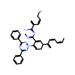 C=C(/C=C\CC(C)C)/C(N)=N/C(=N\C)C1=CC(C(=C)/C=C\C=C/C)CC=C1[n+]1nc(-c2ccccc2)nc(-c2ccccc2)n1